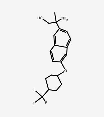 CC(N)(CO)c1ccc2cc(OC3CCC(C(F)(F)F)CC3)ccc2c1